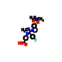 C=N/C(=C(\N=C1\C=CC(C(=O)O)=CC1)c1ccc(F)cc1)N1CCCc2cc(S(=O)(=O)N(C)C)ccc21